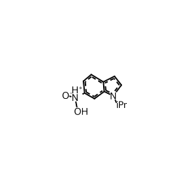 CC(C)n1ccc2ccc([NH+]([O-])O)cc21